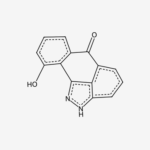 O=C1c2cccc(O)c2-c2n[nH]c3cccc1c23